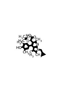 Cc1cc(-c2c3c(nc(C)c2[C@H](OC(C)(C)C)C(=O)O)N(CC2CC2)C(C)C3C)cc(C)c1O